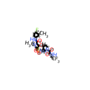 Cc1cc(NC(=O)c2c3c(cn2C)S(=O)(=O)N[C@@H]2CN(C(=O)C(=O)NCC(F)(F)F)CC[C@H]2O3)ccc1F